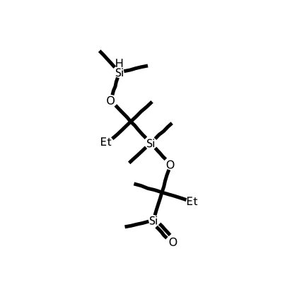 CCC(C)(O[Si](C)(C)C(C)(CC)O[SiH](C)C)[Si](C)=O